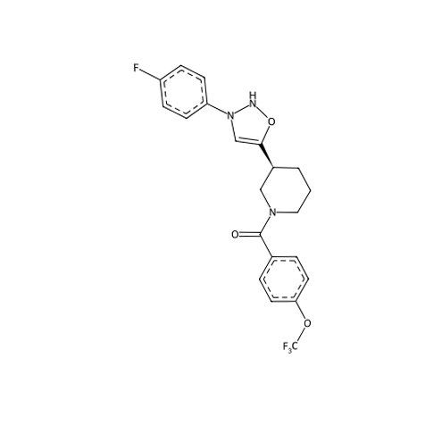 O=C(c1ccc(OC(F)(F)F)cc1)N1CCC[C@H](C2=CN(c3ccc(F)cc3)NO2)C1